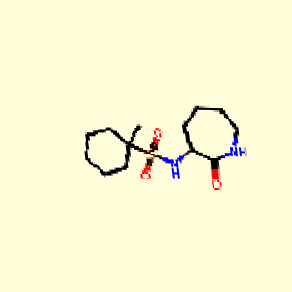 CC1(S(=O)(=O)N[C@H]2CCCCNC2=O)CCCCC1